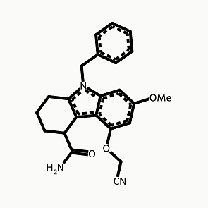 COc1cc(OCC#N)c2c3c(n(Cc4ccccc4)c2c1)CCCC3C(N)=O